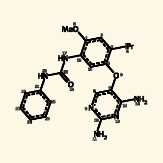 COc1cc(C(C)C)c(Oc2cnc(N)nc2N)cc1NC(=O)Nc1ccccc1